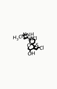 Cl.Cn1cc([C@@H]2C[C@]3(CCN2)OCC(O)c2cc(Cl)sc23)nn1